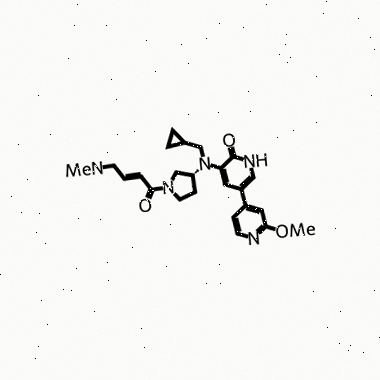 CNCC=CC(=O)N1CC[C@@H](N(CC2CC2)c2cc(-c3ccnc(OC)c3)c[nH]c2=O)C1